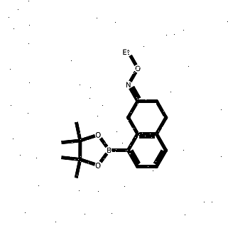 CCON=C1CCc2cccc(B3OC(C)(C)C(C)(C)O3)c2C1